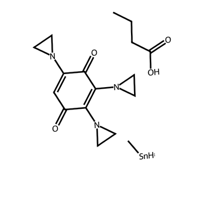 CCCC(=O)O.O=C1C=C(N2CC2)C(=O)C(N2CC2)=C1N1CC1.[CH3][SnH]